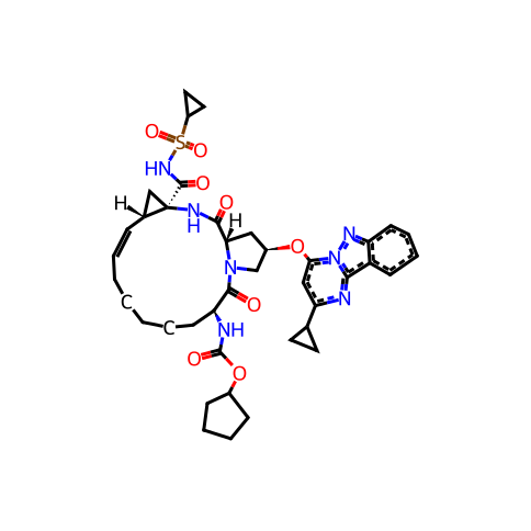 O=C(N[C@H]1CCCCC/C=C\[C@@H]2C[C@@]2(C(=O)NS(=O)(=O)C2CC2)NC(=O)[C@@H]2C[C@@H](Oc3cc(C4CC4)nc4c5ccccc5nn34)CN2C1=O)OC1CCCC1